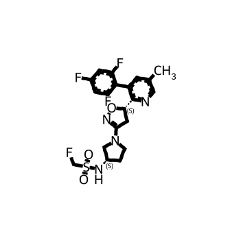 Cc1cnc([C@@H]2CC(N3CC[C@H](NS(=O)(=O)CF)C3)=NO2)c(-c2c(F)cc(F)cc2F)c1